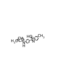 Cc1ccc2nc(-c3ccc(NC(=O)CN(C)C)cc3)n(O)c2c1